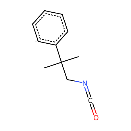 CC(C)(CN=C=O)c1[c]cccc1